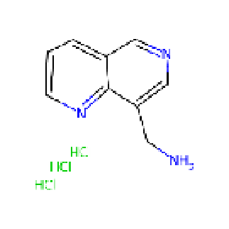 Cl.Cl.Cl.NCc1cncc2cccnc12